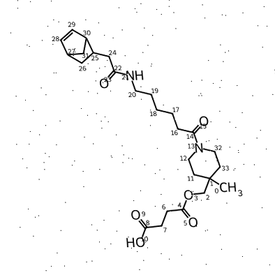 CC1(COC(=O)CCC(=O)O)CCN(C(=O)CCCCCNC(=O)CC2CC3C=CC2C3)CC1